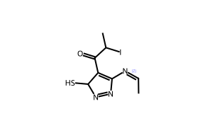 C/C=N\C1=C(C(=O)C(C)I)C(S)N=N1